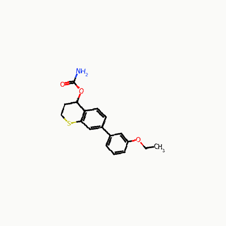 CCOc1cccc(-c2ccc3c(c2)SCCC3OC(N)=O)c1